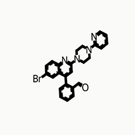 O=Cc1ccccc1-c1cc(N2CCN(c3ccccn3)CC2)nc2ccc(Br)cc12